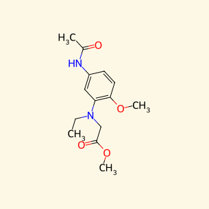 CCN(CC(=O)OC)c1cc(NC(C)=O)ccc1OC